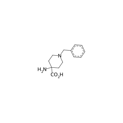 NC1(C(=O)O)CCN(Cc2ccccc2)CC1